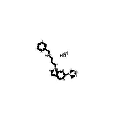 Cl.Cl.c1ccc(CNCCCn2ccc3ccc(-n4cnnc4)cc32)cc1